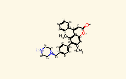 Cc1cc2oc(=O)cc(-c3ccccc3)c2c(C)c1-c1ccc(CN2CCNCC2)cc1